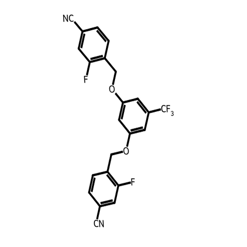 N#Cc1ccc(COc2cc(OCc3ccc(C#N)cc3F)cc(C(F)(F)F)c2)c(F)c1